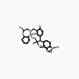 CCCn1nnc2c(C)c(C(c3ccc(C)c(CN4CC(CC)Oc5ccccc5S4(O)O)c3)C(C)(C)C(=O)O)ccc21